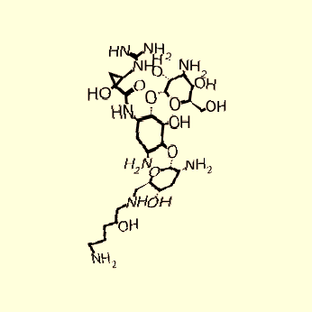 N=C(N)NC1CC1(O)C(=O)N[C@@H]1C[C@H](N)C(O[C@H]2O[C@H](CNCC(O)CCCN)[C@@H](O)C[C@H]2N)[C@H](O)[C@H]1O[C@H]1O[C@H](CO)[C@@H](O)[C@H](N)[C@H]1O